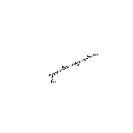 O=C(CSCSCSCC[S+]([O-])CSCSCSCSC(=O)CSCSCSCC[S+]([O-])CCCO)SCCCO